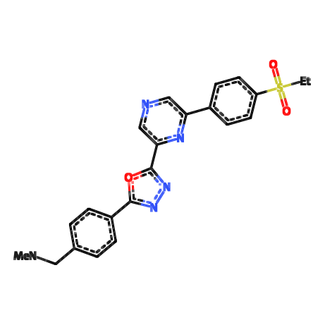 CCS(=O)(=O)c1ccc(-c2cncc(-c3nnc(-c4ccc(CNC)cc4)o3)n2)cc1